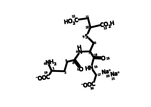 NC(CCC(=O)NC(CSC(CC(=O)O)C(=O)O)C(=O)NCC(=O)[O-])C(=O)[O-].[Na+].[Na+]